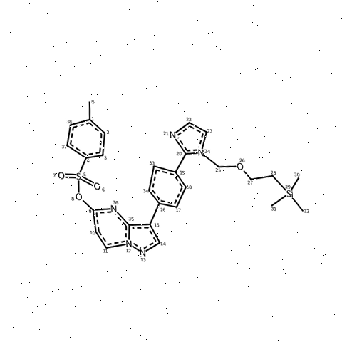 Cc1ccc(S(=O)(=O)Oc2ccn3ncc(-c4ccc(-c5nccn5COCC[Si](C)(C)C)cc4)c3n2)cc1